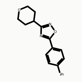 CC(C)c1ccc(-c2nc(C3CCOCC3)no2)cc1